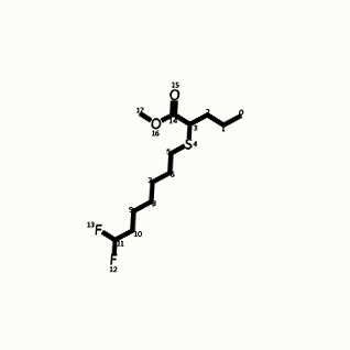 CCCC(SCCCCCCC(F)F)C(=O)OC